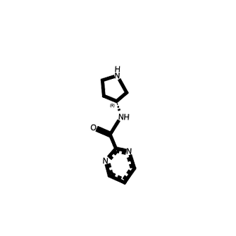 O=C(N[C@@H]1CCNC1)c1ncccn1